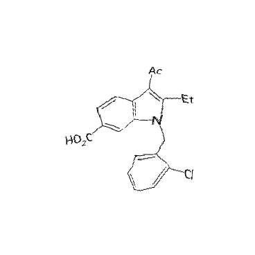 CCc1c(C(C)=O)c2ccc(C(=O)O)cc2n1Cc1ccccc1Cl